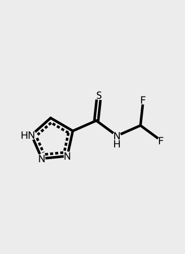 FC(F)NC(=S)c1c[nH]nn1